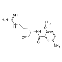 COc1ccc(N)cc1C(=O)N[C@H](C=O)CCCNC(=N)N